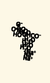 O.O.O.O.O.O.O=C[O-].O=P([O-])([O-])O.[Na+].[Na+].[Na+]